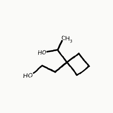 CC(O)C1(CCO)CCC1